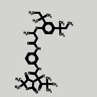 CCC(C)(C)c1ccc(OC(C)CC(=O)Nc2cccc(NC(=O)C(Cl)(C(=O)C(C)(C)C)N3C(=O)OC(C)(C)C3=O)c2)c(C(C)(C)CC)c1